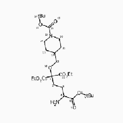 CCOC(=O)C(CCC(N)C(=O)OC(C)(C)C)(OCC1CCN(C(=O)OC(C)(C)C)CC1)C(=O)OCC